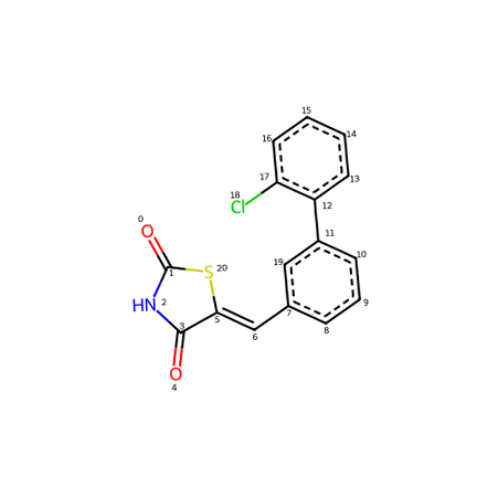 O=C1NC(=O)C(=Cc2cccc(-c3ccccc3Cl)c2)S1